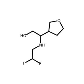 OCC(NCC(F)F)C1CCOC1